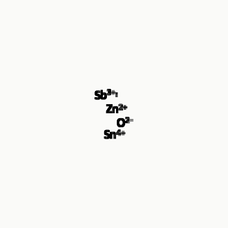 [O-2].[Sb+3].[Sn+4].[Zn+2]